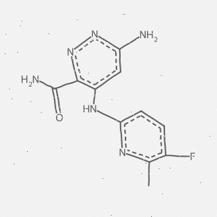 Cc1nc(Nc2cc(N)nnc2C(N)=O)ccc1F